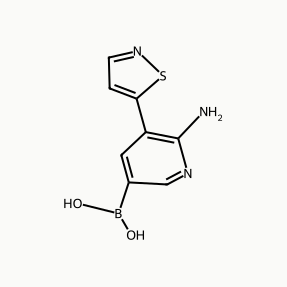 Nc1ncc(B(O)O)cc1-c1ccns1